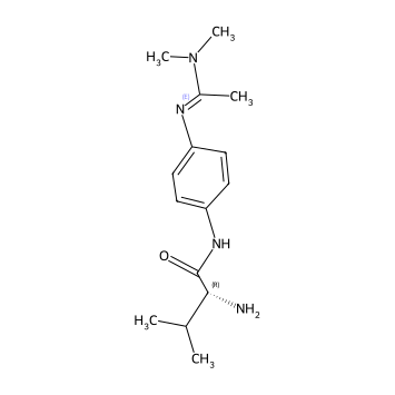 C/C(=N\c1ccc(NC(=O)[C@H](N)C(C)C)cc1)N(C)C